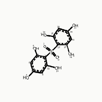 O=S(=O)(c1c(O)cc(O)cc1O)c1c(O)cc(O)cc1O